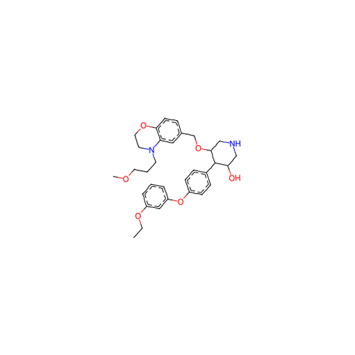 CCOc1cccc(Oc2ccc(C3C(O)CNCC3OCc3ccc4c(c3)N(CCCOC)CCO4)cc2)c1